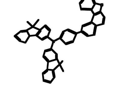 CC1(C)C2=CC=CCC2c2cc(N(c3ccc(-c4ccc5ccc6oc7ccccc7c6c5c4)cc3)c3ccc4c(c3)C(C)(C)c3ccccc3-4)ccc21